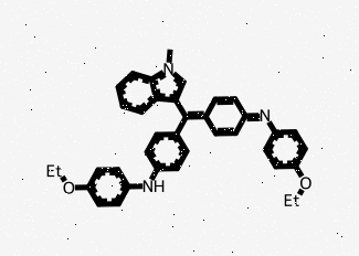 CCOc1ccc(N=C2C=CC(=C(c3ccc(Nc4ccc(OCC)cc4)cc3)c3cn(C)c4ccccc34)C=C2)cc1